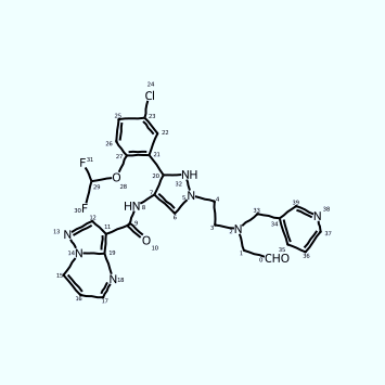 O=CCN(CCN1C=C(NC(=O)c2cnn3cccnc23)C(c2cc(Cl)ccc2OC(F)F)N1)Cc1cccnc1